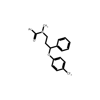 CC(=O)C(=O)N(C)CCC(Oc1ccc(C(F)(F)F)cc1)c1ccccc1